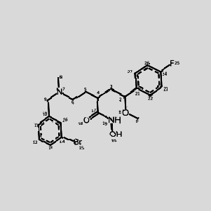 COC(CC(CCN(C)Cc1cccc(Br)c1)C(=O)NO)c1ccc(F)cc1